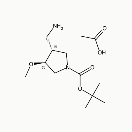 CC(=O)O.CO[C@@H]1CN(C(=O)OC(C)(C)C)C[C@H]1CN